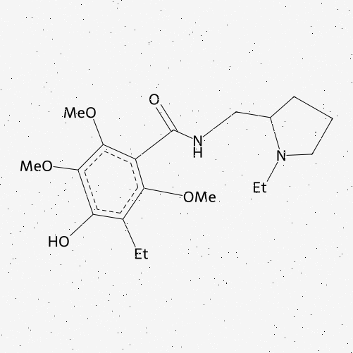 CCc1c(O)c(OC)c(OC)c(C(=O)NCC2CCCN2CC)c1OC